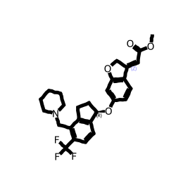 COC(=O)/C=C1\COc2cc(O[C@@H]3CCc4c3ccc(C(F)(F)F)c4CN3CCCCC3)ccc21